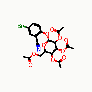 CC(=O)OCC1OC(Oc2ccc(Br)cc2C#N)C(OC(C)=O)C(OC(C)=O)C1OC(C)=O